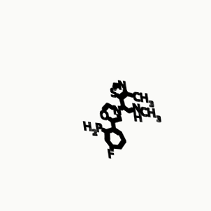 CNCC(c1scnc1C)N1CCOC(C2=CCCC(F)C=C2P)C1